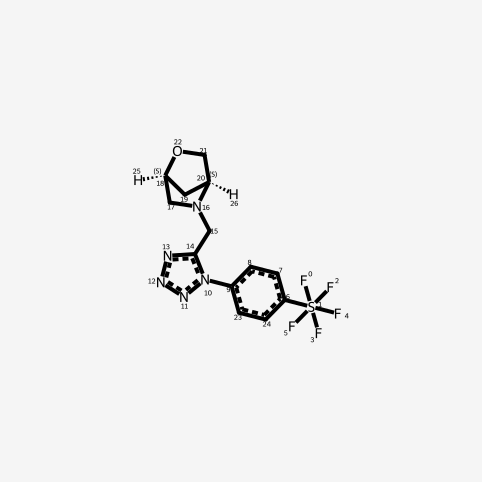 FS(F)(F)(F)(F)c1ccc(-n2nnnc2CN2C[C@@H]3C[C@H]2CO3)cc1